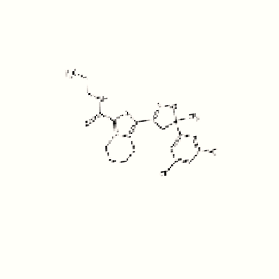 O=C(NCCC(F)(F)F)c1sc(C2=NOC(c3cc(Cl)cc(Cl)c3)(C(F)(F)F)C2)c2c1CCCC2